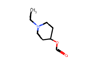 CCN1CCC(OC=O)CC1